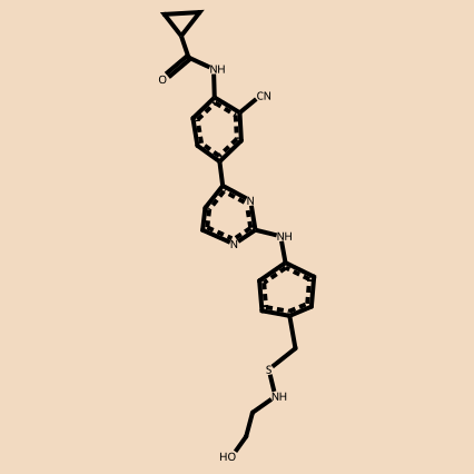 N#Cc1cc(-c2ccnc(Nc3ccc(CSNCCO)cc3)n2)ccc1NC(=O)C1CC1